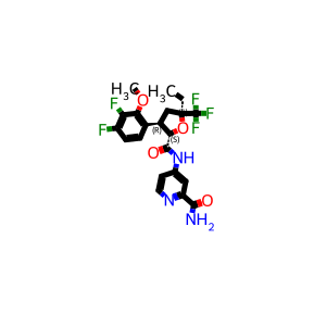 CC[C@@]1(C(F)(F)F)C[C@H](c2ccc(F)c(F)c2OC)[C@@H](C(=O)Nc2ccnc(C(N)=O)c2)O1